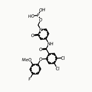 COc1cc(F)ccc1Oc1cc(Cl)c(Cl)cc1C(=O)Nc1ccn(COP(O)O)c(=O)c1